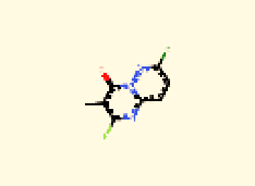 Cc1c(F)nc2ccc(Cl)nn2c1=O